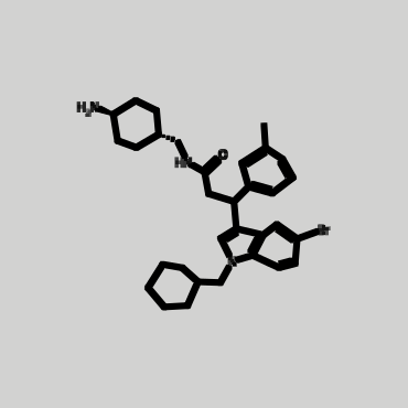 Cc1cccc(C(CC(=O)NC[C@H]2CC[C@H](N)CC2)c2cn(CC3CCCCC3)c3ccc(Br)cc23)c1